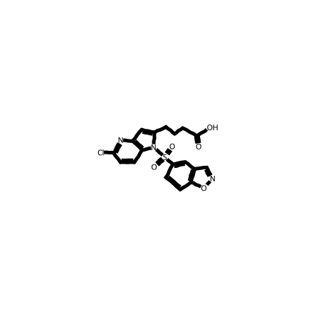 O=C(O)CCCc1cc2nc(Cl)ccc2n1S(=O)(=O)c1ccc2oncc2c1